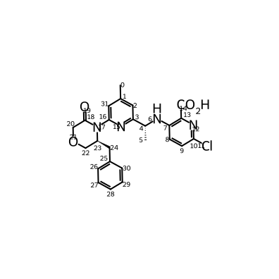 Cc1cc([C@@H](C)Nc2ccc(Cl)nc2C(=O)O)nc(N2C(=O)COC[C@@H]2Cc2ccccc2)c1